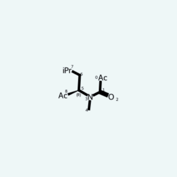 CC(=O)C(=O)N(C)[C@H](CC(C)C)C(C)=O